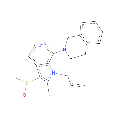 C=CCn1c(C)c([S+](C)[O-])c2ccnc(N3CCc4ccccc4C3)c21